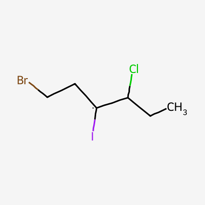 CCC(Cl)[C](I)CCBr